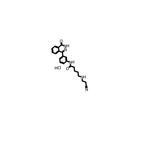 Cl.N#CCCNCCCCC(=O)Nc1cccc(-c2n[nH]c(=O)c3ccccc23)c1